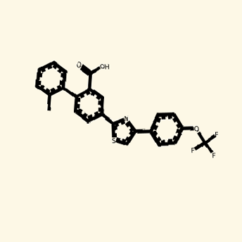 Cc1ccccc1-c1ccc(-c2nc(-c3ccc(OC(F)(F)F)cc3)cs2)cc1C(=O)O